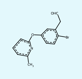 Cc1cccc(Oc2ccc(Br)c(CC=O)c2)n1